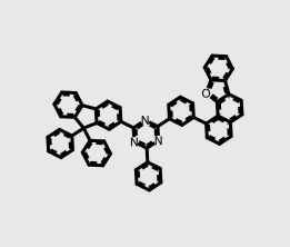 c1ccc(-c2nc(-c3cccc(-c4cccc5ccc6c7ccccc7oc6c45)c3)nc(-c3ccc4c(c3)C(c3ccccc3)(c3ccccc3)c3ccccc3-4)n2)cc1